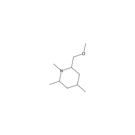 COCC1CC(C)CC(C)N1C